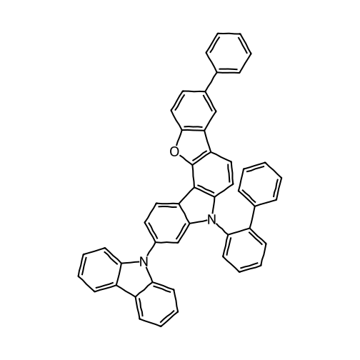 c1ccc(-c2ccc3oc4c(ccc5c4c4ccc(-n6c7ccccc7c7ccccc76)cc4n5-c4ccccc4-c4ccccc4)c3c2)cc1